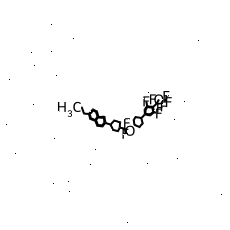 CCCc1ccc2cc(C3CCC(C(F)(F)OC4CCC(c5cc(F)c(C(F)(F)OC(F)(F)F)c(F)c5)CC4)CC3)ccc2c1